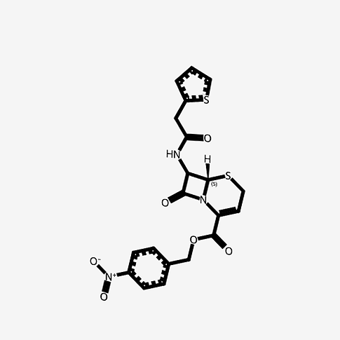 O=C(Cc1cccs1)NC1C(=O)N2C(C(=O)OCc3ccc([N+](=O)[O-])cc3)=CCS[C@@H]12